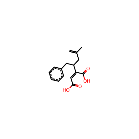 C=C(C)CC(Cc1ccccc1)C(=CC(=O)O)C(=O)O